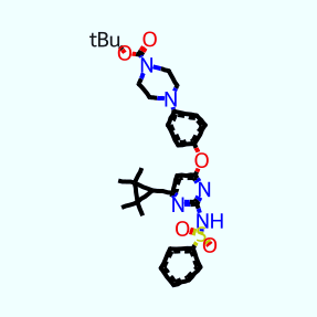 CC(C)(C)OC(=O)N1CCN(c2ccc(Oc3cc(C4C(C)(C)C4(C)C)nc(NS(=O)(=O)c4ccccc4)n3)cc2)CC1